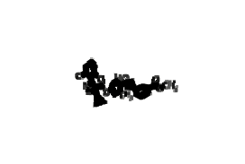 COC(=O)c1cccc(C2CC(O)(c3ccc(OCc4c(-c5c(Cl)cccc5Cl)nsc4C4CC4)cc3C)C2)c1